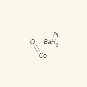 [BaH2].[O]=[Co].[Pr]